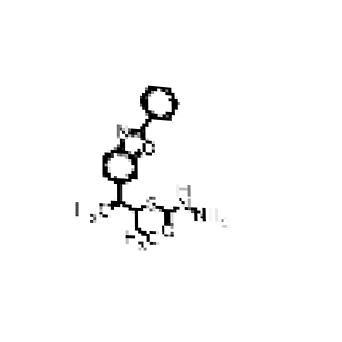 C=C(c1ccc2nc(-c3ccccc3)oc2c1)C(CC)SC(=O)NN